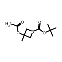 CC(C)(C)OC(=O)N1CC(C)(OC(N)=O)C1